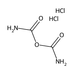 Cl.Cl.NC(=O)OC(N)=O